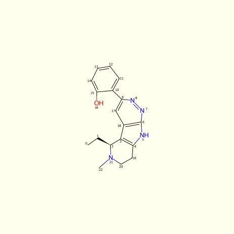 CC[C@H]1c2c([nH]c3nnc(-c4ccccc4O)cc23)CCN1C